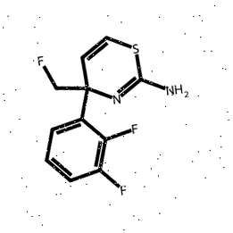 NC1=NC(CF)(c2cccc(F)c2F)C=CS1